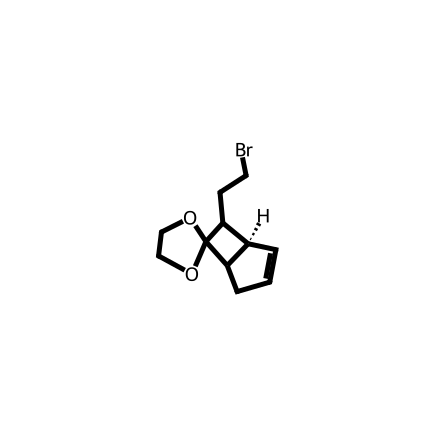 BrCCC1[C@H]2C=CCC2C12OCCO2